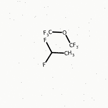 CC(F)F.FC(F)(F)OC(F)(F)F